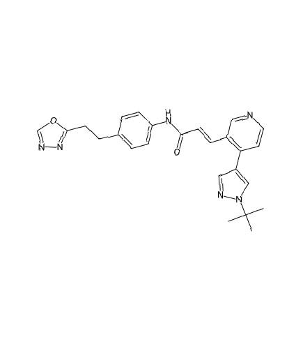 CC(C)(C)n1cc(-c2ccncc2C=CC(=O)Nc2ccc(CCc3nnco3)cc2)cn1